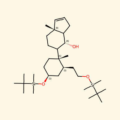 CC(C)(C)[Si](C)(C)OCC[C@H]1C[C@@H](O[Si](C)(C)C(C)(C)C)CC[C@]1(C)C1CC[C@]2(C)C=CCC2[C@@H]1O